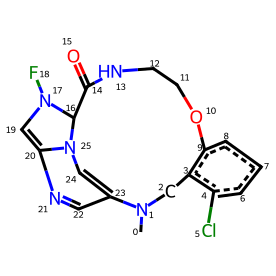 CN1Cc2c(Cl)cccc2OCCNC(=O)C2N(F)C=C3N=CC1=CN32